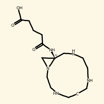 O=C(O)CCCC(=O)N[C@@]12CNCCNCCCNCCN1C2